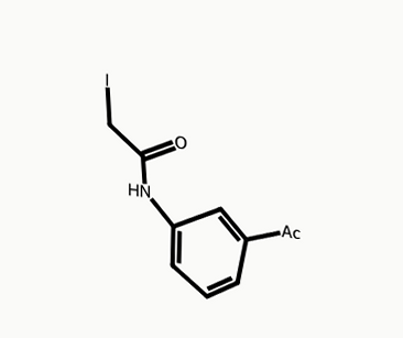 CC(=O)c1cccc(NC(=O)CI)c1